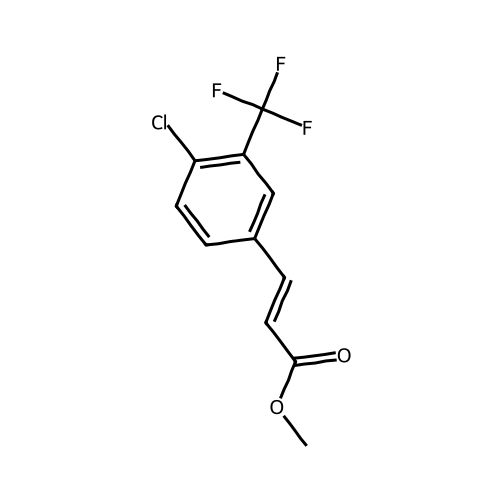 COC(=O)C=Cc1ccc(Cl)c(C(F)(F)F)c1